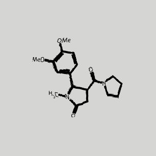 COc1ccc(C2C(C(=O)N3CCCC3)CC(=O)N2C)cc1OC